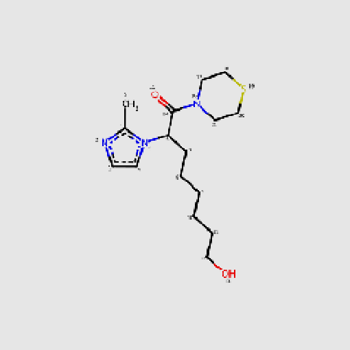 Cc1n[c]cn1C(CCCCCCO)C(=O)N1CCSCC1